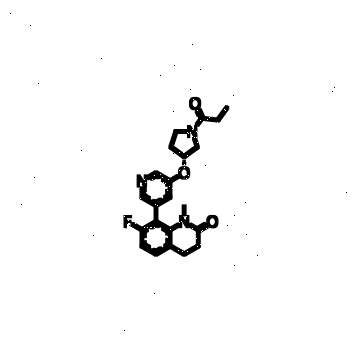 CCC(=O)N1CC[C@@H](Oc2cncc(-c3c(F)ccc4c3N(C)C(=O)CC4)c2)C1